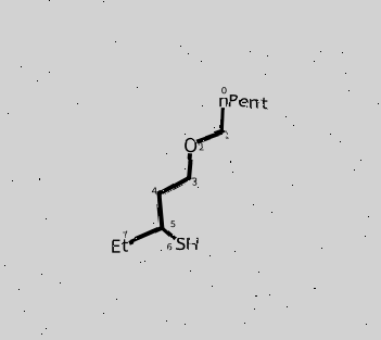 CCCCCCOCCC(S)CC